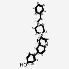 Oc1ccc(-c2ccc3ncc(N4CCN(CCc5ccccc5)CC4)nc3c2)cc1